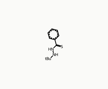 CC(C)(C)NNC(=S)c1ccccc1